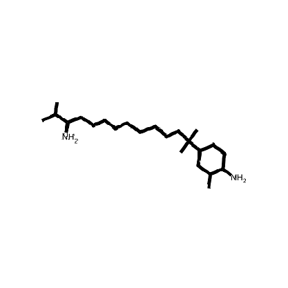 CC(C)C(N)CCCCCCCCCC(C)(C)C1CCC(N)C(C)C1